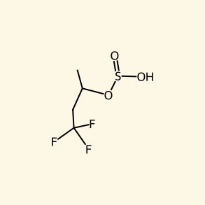 CC(CC(F)(F)F)OS(=O)O